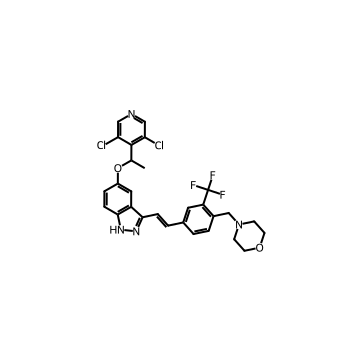 CC(Oc1ccc2[nH]nc(/C=C/c3ccc(CN4CCOCC4)c(C(F)(F)F)c3)c2c1)c1c(Cl)cncc1Cl